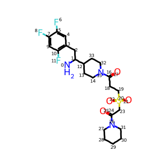 NC(Cc1cc(F)c(F)cc1F)C1CCN(C(=O)CCS(=O)(=O)CC(=O)N2CCCCC2)CC1